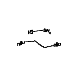 CCCCCCCCCC.O[SiH3]